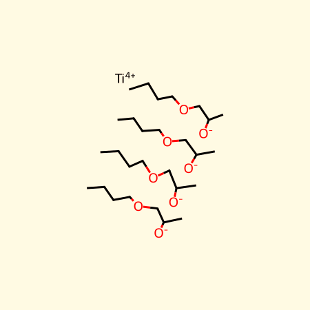 CCCCOCC(C)[O-].CCCCOCC(C)[O-].CCCCOCC(C)[O-].CCCCOCC(C)[O-].[Ti+4]